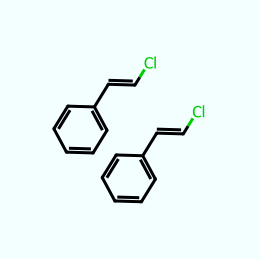 ClC=Cc1ccccc1.ClC=Cc1ccccc1